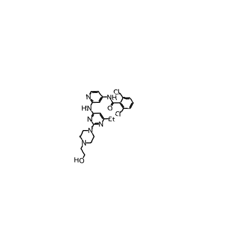 CCc1cc(Nc2cc(NC(=O)c3c(Cl)cccc3Cl)ccn2)nc(N2CCN(CCO)CC2)n1